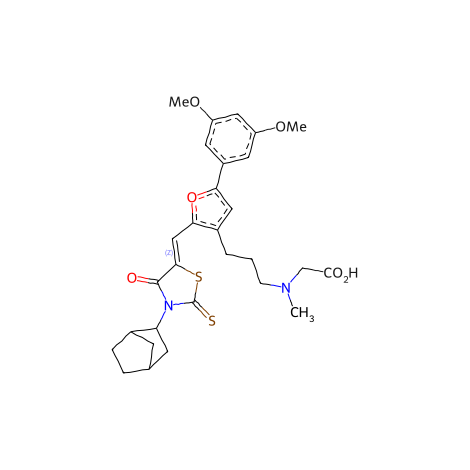 COc1cc(OC)cc(-c2cc(CCCN(C)CC(=O)O)c(/C=C3\SC(=S)N(C4CC5CCC4C5)C3=O)o2)c1